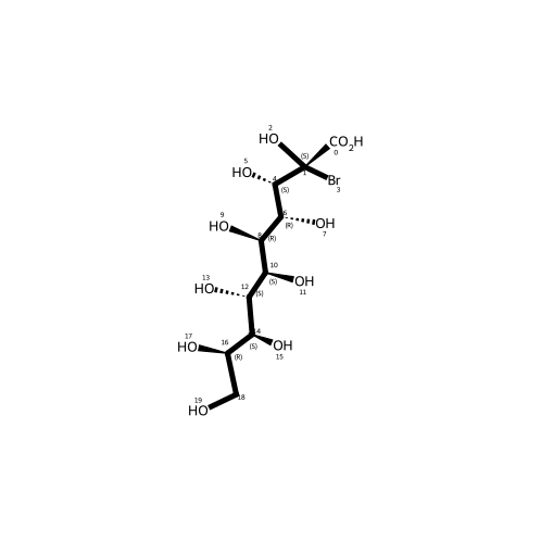 O=C(O)[C@@](O)(Br)[C@@H](O)[C@H](O)[C@H](O)[C@@H](O)[C@@H](O)[C@@H](O)[C@H](O)CO